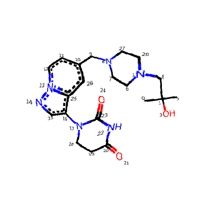 CC(C)(O)CN1CCN(Cc2ccn3ncc(N4CCC(=O)NC4=O)c3c2)CC1